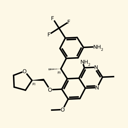 COc1cc2nc(C)nc(N)c2c([C@H](C)c2cc(N)cc(C(F)(F)F)c2)c1OC[C@H]1CCCO1